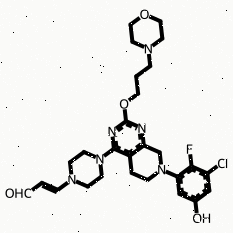 O=CC=CN1CCN(c2nc(OCCCN3CCOCC3)nc3c2CCN(c2cc(O)cc(Cl)c2F)C3)CC1